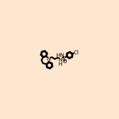 N=S(=O)(NCCCN1c2ccccc2CCc2ccccc21)c1ccc(Cl)cc1